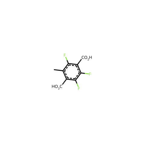 Cc1c(F)c(C(=O)O)c(F)c(F)c1C(=O)O